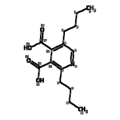 CCCCc1cnc(CCCC)c(C(=O)O)c1C(=O)O